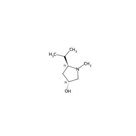 CC(C)[C@@H]1C[C@@H](O)CN1C